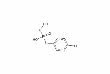 O=P(O)(OO)Oc1ccc(Cl)cc1